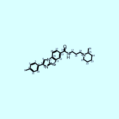 Cc1ccc(-c2cn3c(n2)sc2cc(C(=O)NCCCN4CCCCC4C)ccc23)cc1